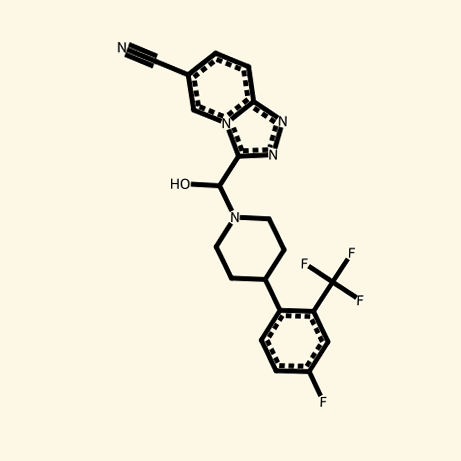 N#Cc1ccc2nnc(C(O)N3CCC(c4ccc(F)cc4C(F)(F)F)CC3)n2c1